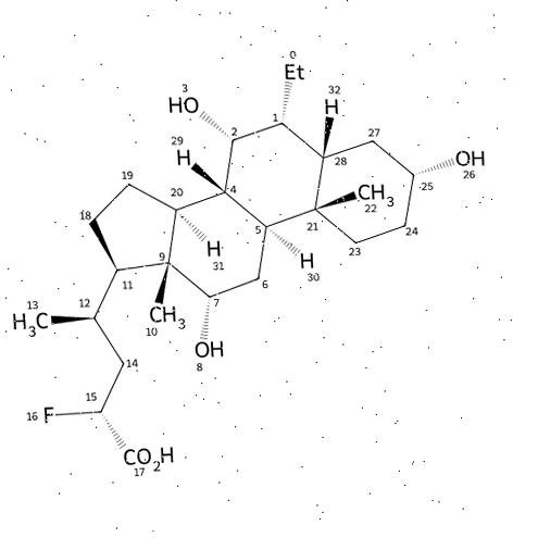 CC[C@H]1[C@@H](O)[C@@H]2[C@H](C[C@H](O)[C@]3(C)[C@@H]([C@H](C)C[C@@H](F)C(=O)O)CC[C@@H]23)[C@@]2(C)CC[C@@H](O)C[C@@H]12